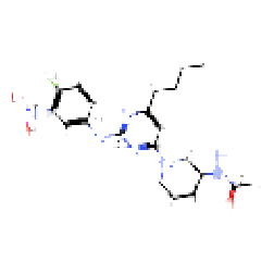 CCCCc1cc(N2CCCC(NC(C)=O)C2)nc(Nc2ccc(F)c([N+](=O)[O-])c2)n1